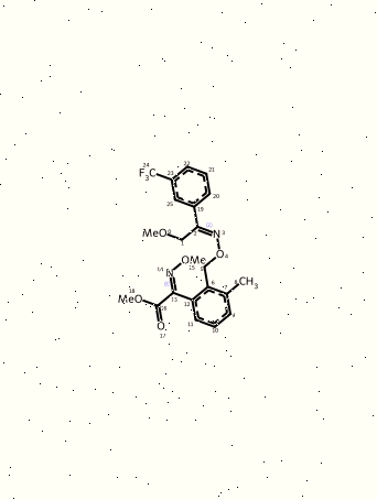 COC/C(=N\OCc1c(C)cccc1/C(=N\OC)C(=O)OC)c1cccc(C(F)(F)F)c1